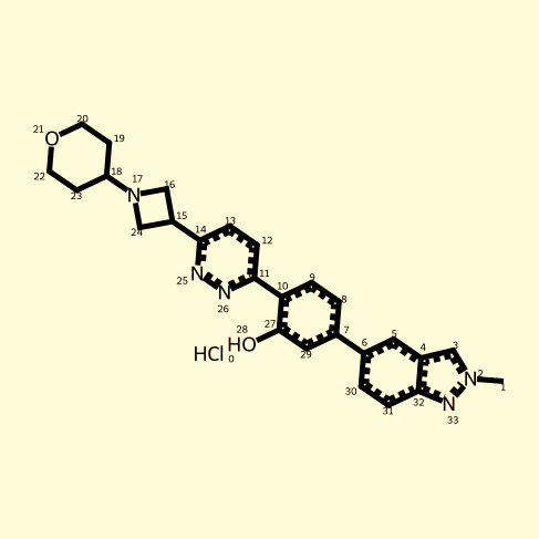 Cl.Cn1cc2cc(-c3ccc(-c4ccc(C5CN(C6CCOCC6)C5)nn4)c(O)c3)ccc2n1